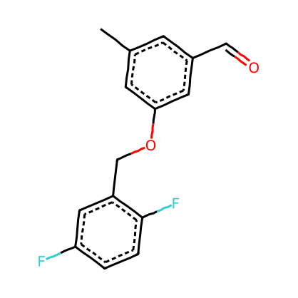 Cc1cc(C=O)cc(OCc2cc(F)ccc2F)c1